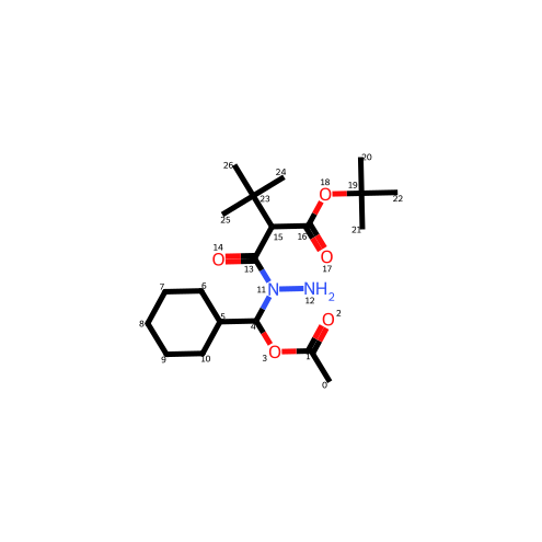 CC(=O)OC(C1CCCCC1)N(N)C(=O)C(C(=O)OC(C)(C)C)C(C)(C)C